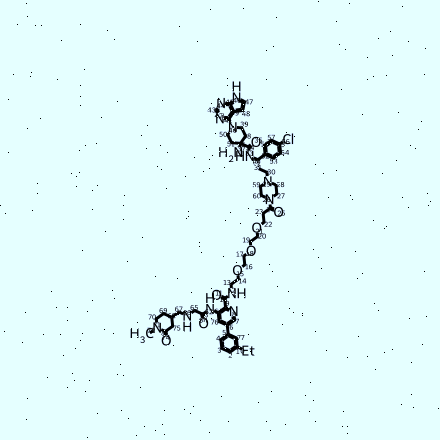 CCc1cccc(-c2cnc(C(=O)NCCOCCOCCOCCC(=O)N3CCN(CC[C@H](NC(=O)C4(N)CCN(c5ncnc6[nH]ccc56)CC4)c4ccc(Cl)cc4)CC3)c(NC(=O)CNCC3CCN(C)C(=O)C3)c2)c1